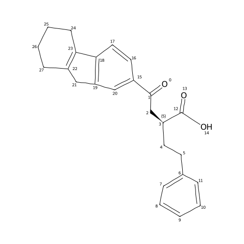 O=C(C[C@H](CCc1ccccc1)C(=O)O)c1ccc2c(c1)CC1=C2CCCC1